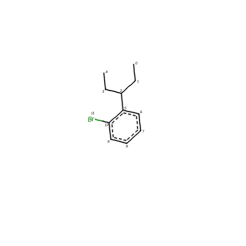 CCC(CC)c1ccccc1Br